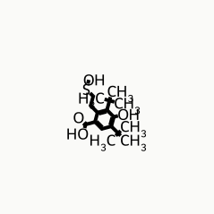 CC(C)(C)c1cc(C(=O)O)c(CCSO)c(C(C)(C)C)c1O